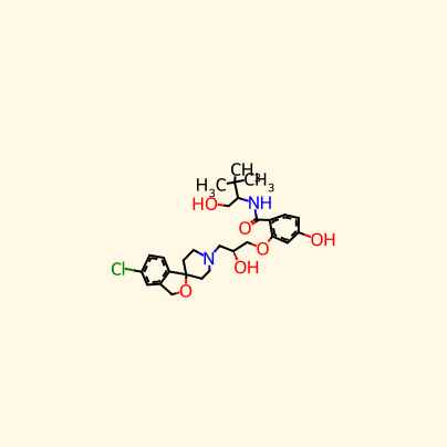 CC(C)(C)C(CO)NC(=O)c1ccc(O)cc1OC[C@@H](O)CN1CCC2(CC1)OCc1cc(Cl)ccc12